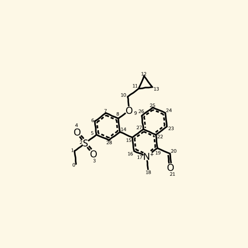 CCS(=O)(=O)c1ccc(OCC2CC2)c(-c2c[n+](C)c(C=O)c3ccccc23)c1